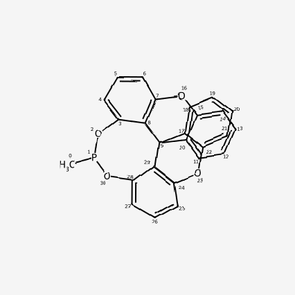 CP1Oc2cccc3c2C2(c4ccccc4O3)c3ccccc3Oc3cccc(c32)O1